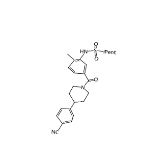 CCCC(C)S(=O)(=O)Nc1cc(C(=O)N2CCC(c3ccc(C#N)cc3)CC2)ccc1C